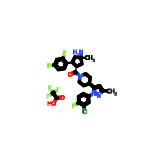 Cc1cc(C2CCN(C(=O)[C@H]3C[C@@](C)(N)C[C@@H]3c3ccc(F)cc3F)CC2)n(-c2ccc(F)c(Cl)c2)n1.O=C(O)C(F)(F)F